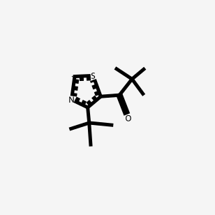 CC(C)(C)C(=O)c1s[c]nc1C(C)(C)C